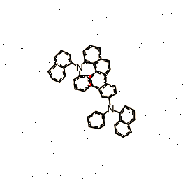 c1ccc(N(c2ccc3c(ccc4c3ccc3cccc(N(c5ccccc5)c5cccc6ccccc56)c34)c2)c2cccc3ccccc23)cc1